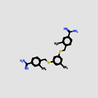 Cc1cc(SCc2ccc(C(=N)N)cc2C)cc(SCc2ccc(C(=N)N)cc2C)c1